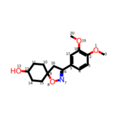 COc1ccc(C2=NOC3(CCC(O)CC3)C2)cc1OC